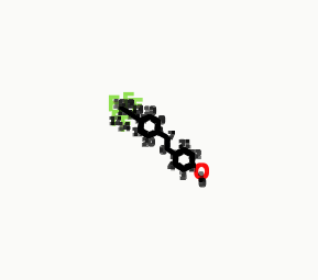 COc1ccc(C=Cc2ccc(C(F)(F)C(F)(F)F)cc2)cc1